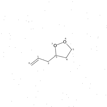 C=CC[C]1CCOO1